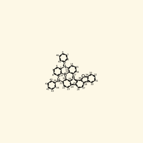 c1ccc(N2c3cccc4c3B3c5c2cccc5-n2c5c3c(ccc5c3ccc5c6ccccc6oc5c32)N4c2ccccc2)cc1